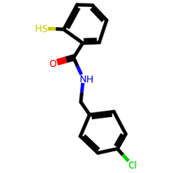 O=C(NCc1ccc(Cl)cc1)c1ccccc1S